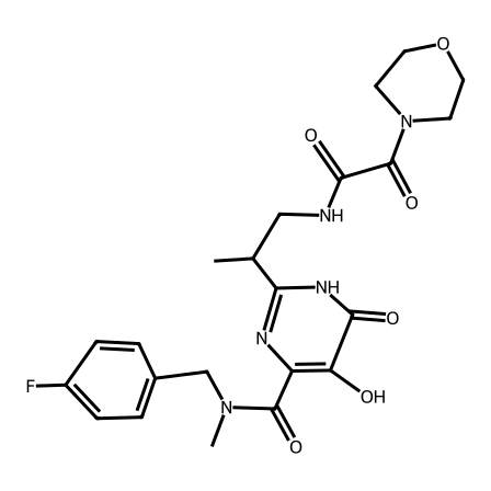 CC(CNC(=O)C(=O)N1CCOCC1)c1nc(C(=O)N(C)Cc2ccc(F)cc2)c(O)c(=O)[nH]1